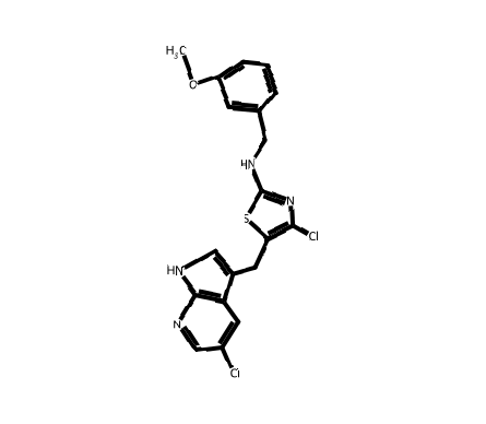 COc1cccc(CNc2nc(Cl)c(Cc3c[nH]c4ncc(Cl)cc34)s2)c1